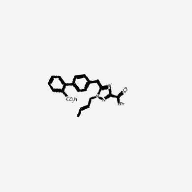 CC=CCn1nc(C(=O)CCC)nc1Cc1ccc(-c2ccccc2C(=O)O)cc1